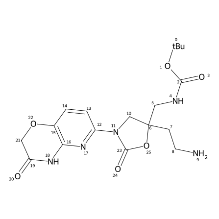 CC(C)(C)OC(=O)NCC1(CCN)CN(c2ccc3c(n2)NC(=O)CO3)C(=O)O1